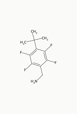 CC(C)(C)c1c(F)c(F)c(CN)c(F)c1F